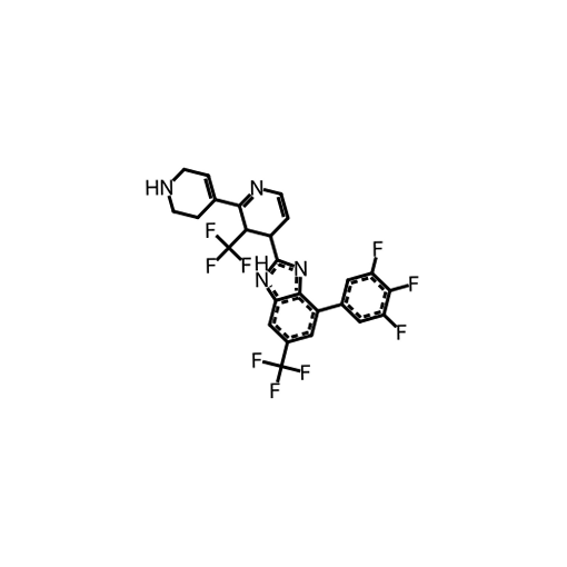 Fc1cc(-c2cc(C(F)(F)F)cc3[nH]c(C4C=CN=C(C5=CCNCC5)C4C(F)(F)F)nc23)cc(F)c1F